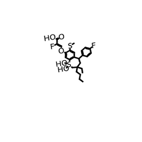 CCCCC1(CC)CC(c2ccc(F)cc2)c2cc(SC)c(O/C=C(\F)C(=O)O)cc2S(O)(O)C1